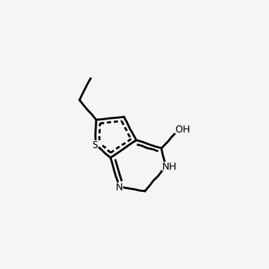 CCc1cc2c(s1)=NCNC=2O